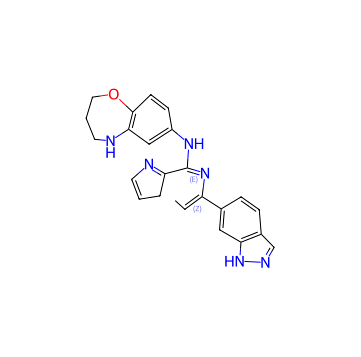 C/C=C(\N=C(\Nc1ccc2c(c1)NCCCO2)C1=NC=CC1)c1ccc2cn[nH]c2c1